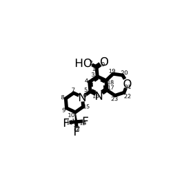 O=C(O)c1cc(N2CCC[C@H](C(F)(F)F)C2)nc2c1CCOCC2